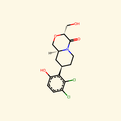 O=C1[C@@H](CO)OC[C@@H]2C[C@H](c3c(O)ccc(Cl)c3Cl)CCN12